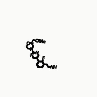 COC[C@H]1CN(c2ncc(-c3cccc(CC=N)c3F)cn2)CCO1